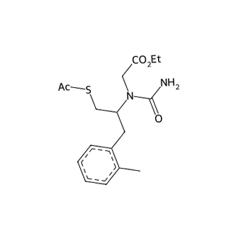 CCOC(=O)CN(C(N)=O)C(CSC(C)=O)Cc1ccccc1C